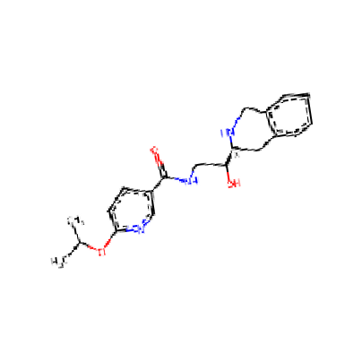 CC(C)Oc1ccc(C(=O)NCC(O)[C@@H]2Cc3ccccc3CN2)cn1